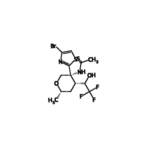 CC(=S)N[C@@]1(c2nc(Br)cs2)CO[C@@H](C)C[C@H]1C(O)C(F)(F)F